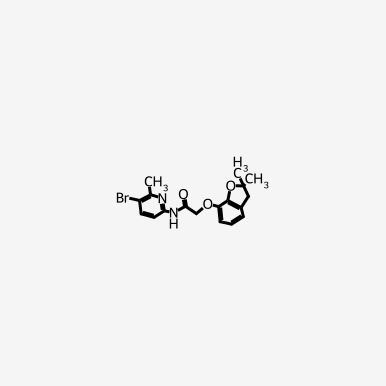 Cc1nc(NC(=O)COc2cccc3c2OC(C)(C)C3)ccc1Br